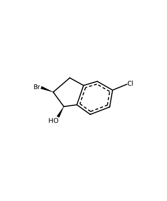 O[C@@H]1c2ccc(Cl)cc2C[C@@H]1Br